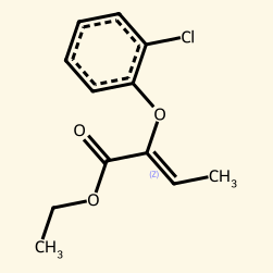 C/C=C(\Oc1ccccc1Cl)C(=O)OCC